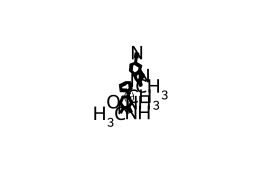 Cc1nc2cc(C#N)ccc2n1-c1cccc([C@]2(C)CC(=O)N(C)C(=N)N2)c1